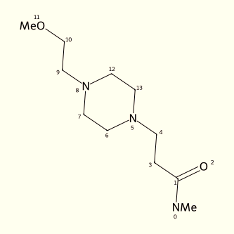 CNC(=O)CCN1CCN(CCOC)CC1